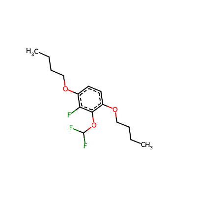 CCCCOc1ccc(OCCCC)c(OC(F)F)c1F